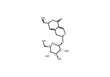 C=CC1C=C2CC(O[C@@H]3O[C@H](CO)[C@@H](O)[C@H](O)[C@H]3O)OC=C2C(=O)O1